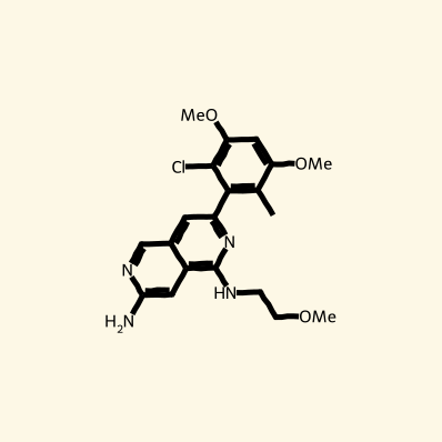 COCCNc1nc(-c2c(C)c(OC)cc(OC)c2Cl)cc2cnc(N)cc12